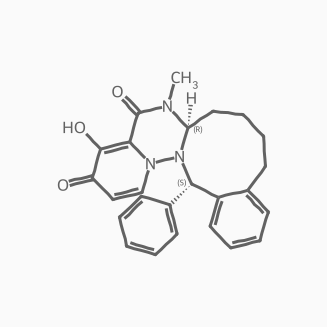 CN1C(=O)c2c(O)c(=O)ccn2N2[C@@H](c3ccccc3)c3ccccc3CCCC[C@H]12